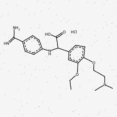 CCOc1cc(C(Nc2ccc(C(=N)N)cc2)C(=O)O)ccc1OCCN(C)C.Cl